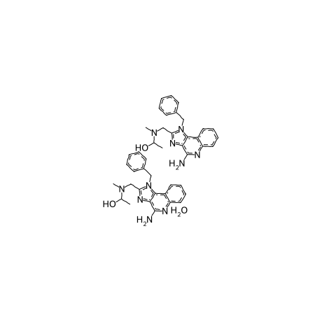 CC(O)N(C)Cc1nc2c(N)nc3ccccc3c2n1Cc1ccccc1.CC(O)N(C)Cc1nc2c(N)nc3ccccc3c2n1Cc1ccccc1.O